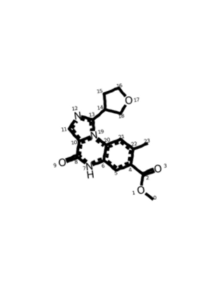 COC(=O)c1cc2[nH]c(=O)c3cnc(C4CCOC4)n3c2cc1C